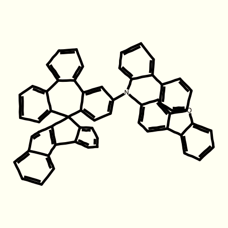 c1ccc(-c2ccccc2N(c2ccc3c(c2)-c2ccccc2-c2ccccc2C32c3ccccc3-c3c2ccc2ccccc32)c2ccc3c(c2)oc2ccccc23)cc1